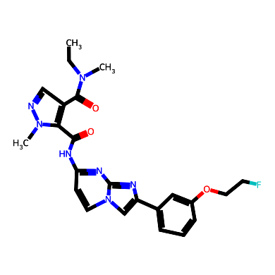 CCN(C)C(=O)c1cnn(C)c1C(=O)Nc1ccn2cc(-c3cccc(OCCF)c3)nc2n1